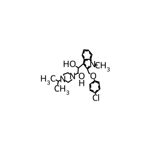 CC(C)N1CCN(C(O)C(O)c2c(COc3ccc(Cl)cc3)n(C)c3ccccc23)CC1